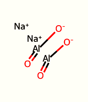 [Na+].[Na+].[O]=[Al][O-].[O]=[Al][O-]